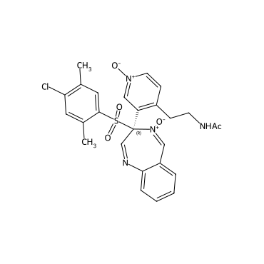 CC(=O)NCCc1cc[n+]([O-])cc1[C@@]1(S(=O)(=O)c2cc(C)c(Cl)cc2C)C=Nc2ccccc2C=[N+]1[O-]